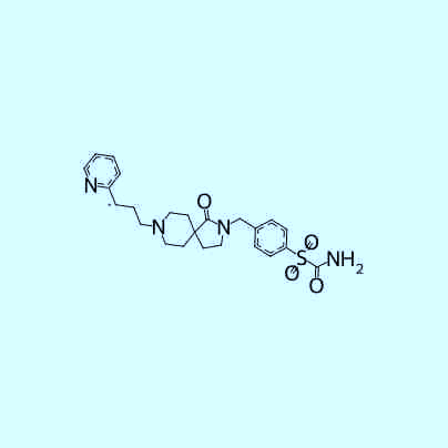 NC(=O)S(=O)(=O)c1ccc(CN2CCC3(CCN(CC[CH]c4ccccn4)CC3)C2=O)cc1